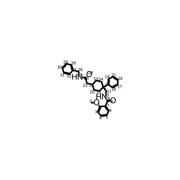 COc1ccccc1C(=O)NCC1(c2ccccc2)CCC(CC(=O)NCc2ccccc2)CC1